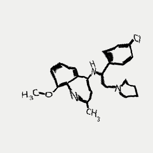 COc1cccc2c(NC(CN3CCCC3)c3ccc(Cl)cc3)cc(C)nc12